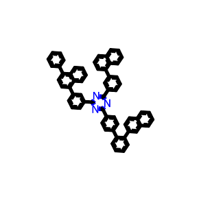 c1ccc(-c2ccc(-c3cccc(-c4nc(-c5ccc(-c6ccccc6-c6ccc7ccccc7c6)cc5)nc(-c5cccc(-c6cccc7ccccc67)c5)n4)c3)c3ccccc23)cc1